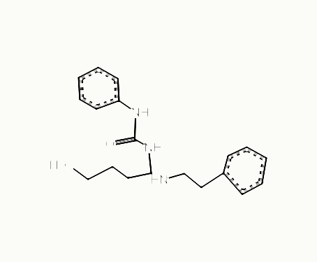 CCCCC(NCCc1ccccc1)NC(=O)Nc1ccccc1